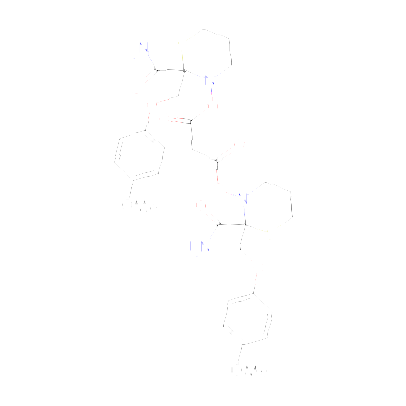 COc1ccc(OCC2(C(N)=O)SCCCN2OC(=O)CC(=O)ON2CCCSC2(COc2ccc(OC)cc2)C(N)=O)cc1